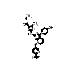 CCOC(=O)c1sc(Nc2nc(N3CCC(O)CC3)c3c(n2)N(Cc2ccc(C(F)(F)F)nc2)CCC3)nc1C